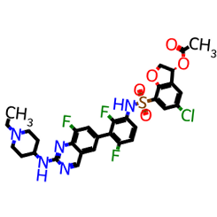 CCN1CCC(Nc2ncc3cc(-c4c(F)ccc(NS(=O)(=O)c5cc(Cl)cc6c5OC[C@@H]6OC(C)=O)c4F)cc(F)c3n2)CC1